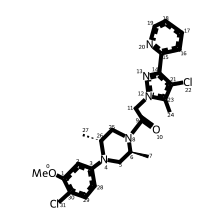 COc1cc(N2C[C@H](C)N(C(=O)Cn3nc(-c4ccccn4)c(Cl)c3C)C[C@H]2C)ccc1Cl